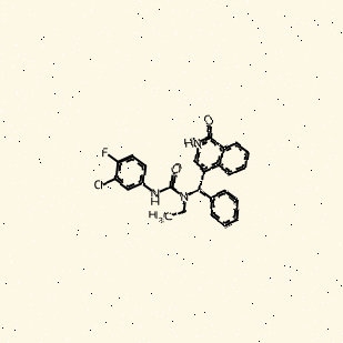 CCN(C(=O)Nc1ccc(F)c(Cl)c1)C(c1ccccc1)c1c[nH]c(=O)c2ccccc12